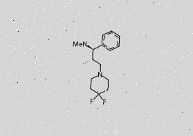 CN[C@@H](c1ccccc1)[C@@H](C)CN1CCC(F)(F)CC1